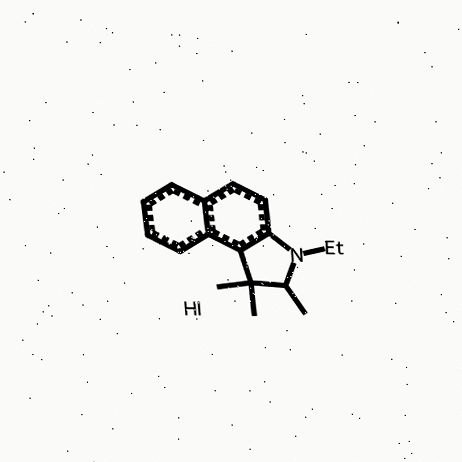 CCN1c2ccc3ccccc3c2C(C)(C)C1C.I